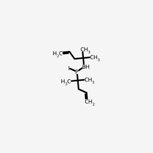 C=CCC(C)(C)BP(I)C(C)(C)CC=C